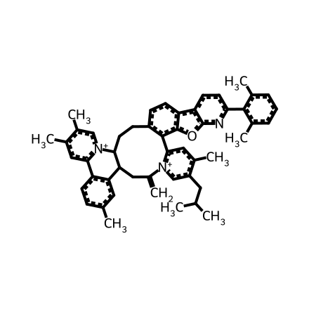 C=C1CC2c3cc(C)ccc3-c3cc(C)c(C)c[n+]3C2CCc2ccc3c(oc4nc(-c5c(C)cccc5C)ccc43)c2-c2cc(C)c(CC(C)C)c[n+]21